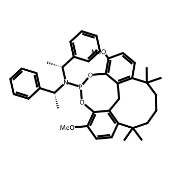 COc1ccc2c3c1OP(N([C@H](C)c1ccccc1)[C@H](C)c1ccccc1)Oc1c(OC)ccc(c1C3)C(C)(C)CCCC2(C)C